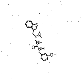 CN(C)[C@H](CNC(=O)NCc1cccc(O)c1)Cc1csc2ccccc12